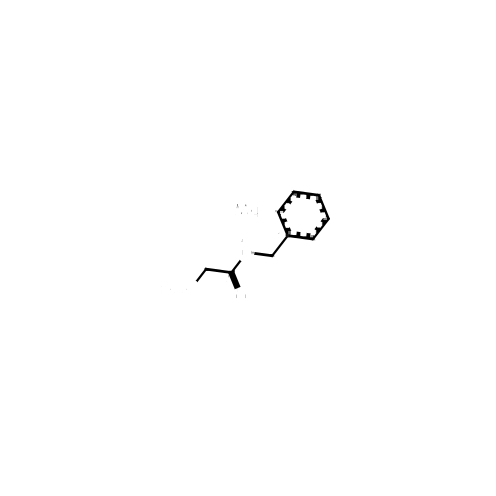 O=C([O-])CC(=O)OCc1ccccc1.[Mg+]